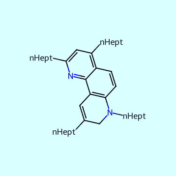 CCCCCCCC1=Cc2c(ccc3c(CCCCCCC)cc(CCCCCCC)nc23)N(CCCCCCC)C1